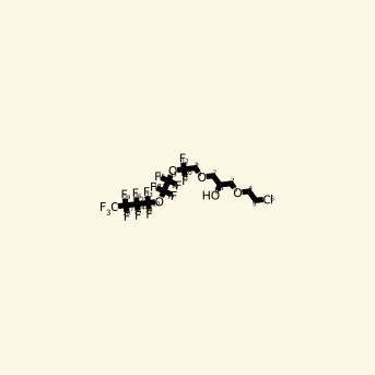 OC(COCCCl)COCC(F)(F)OC(F)(F)C(F)(F)OC(F)(F)C(F)(F)C(F)(F)C(F)(F)F